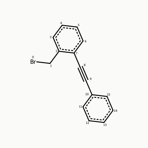 BrCc1ccccc1C#Cc1ccccc1